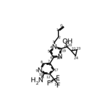 C=CCCn1cc(-c2cnc(N)c(C(F)(F)F)c2)nc1[C@@H](O)C1CC1